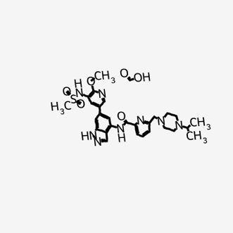 COc1ncc(-c2cc(NC(=O)c3cccc(CN4CCN(C(C)C)CC4)n3)c3cn[nH]c3c2)cc1NS(C)(=O)=O.O=CO